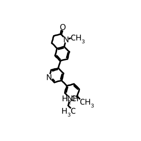 C=C(C)/C=C\C(=C/NCC)c1cncc(-c2ccc3c(c2)CCC(=O)N3C)c1